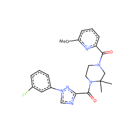 COc1cccc(C(=O)N2CCN(C(=O)c3ncn(-c4cccc(F)c4)n3)C(C)(C)C2)n1